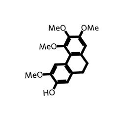 COc1cc2c(cc1O)CCc1cc(OC)c(OC)c(OC)c1-2